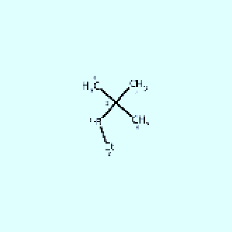 CC[B]C(C)(C)C